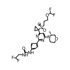 C[C@H]1COCCN1c1cc(C2(S(=O)(=O)CCCOC(F)F)CC2)nc(-c2ccc(NC(=O)NCC(F)F)cc2)n1